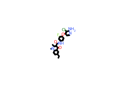 CCc1ccc2c(c1)c(=O)c(C(=O)Nc1ccc(Oc3ccnc(N)c3Cl)c(F)c1)c(C)n2C